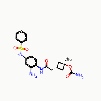 CC(C)(C)[C@]1(OC(N)=O)C[C@H](CC(=O)Nc2ccc(NS(=O)(=O)c3ccccc3)cc2N)C1